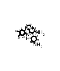 Cc1ccc(Nc2c3nccn3nc(N)c2[C@H]2CC[C@@H](N)CC2)cc1C